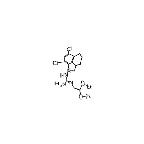 CCOC(CN=C(N)NN1CC2CCCc3c(Cl)cc(Cl)c1c32)OCC